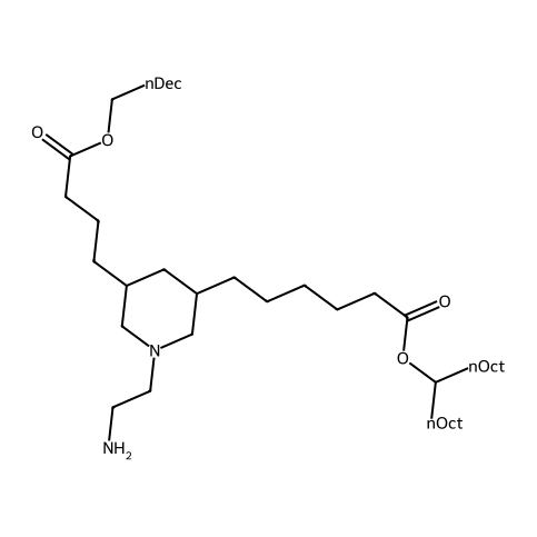 CCCCCCCCCCCOC(=O)CCCC1CC(CCCCCC(=O)OC(CCCCCCCC)CCCCCCCC)CN(CCN)C1